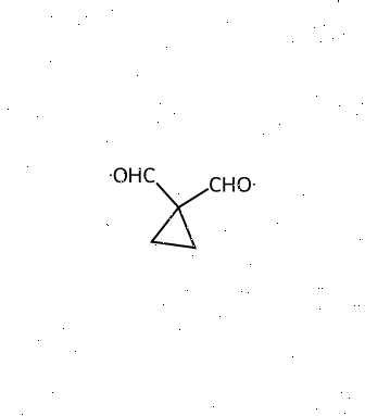 O=[C]C1([C]=O)CC1